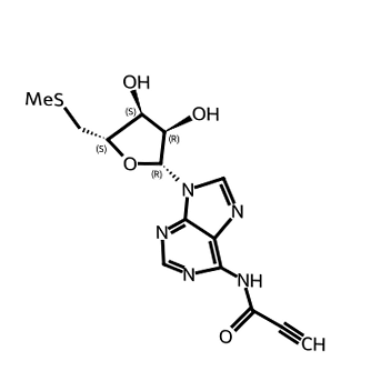 C#CC(=O)Nc1ncnc2c1ncn2[C@@H]1O[C@H](CSC)[C@@H](O)[C@H]1O